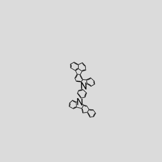 c1ccc2cc3c(cc2c1)c1ccccc1n3-c1ccc(-n2c3ccccc3c3c4c(ccc32)-c2cccc3cccc-4c23)cc1